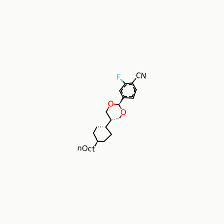 CCCCCCCC[C@H]1CC[C@H]([C@H]2CO[C@H](c3ccc(C#N)c(F)c3)OC2)CC1